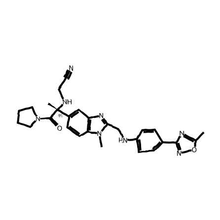 Cc1nc(-c2ccc(NCc3nc4cc([C@@](C)(NCC#N)C(=O)N5CCCC5)ccc4n3C)cc2)no1